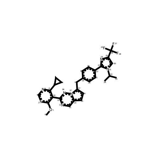 COc1ncnc(C2CC2)c1-c1ncc2ccc(Cc3ccc(-c4nc(C(F)(F)F)cn4C(C)C)cc3)n2n1